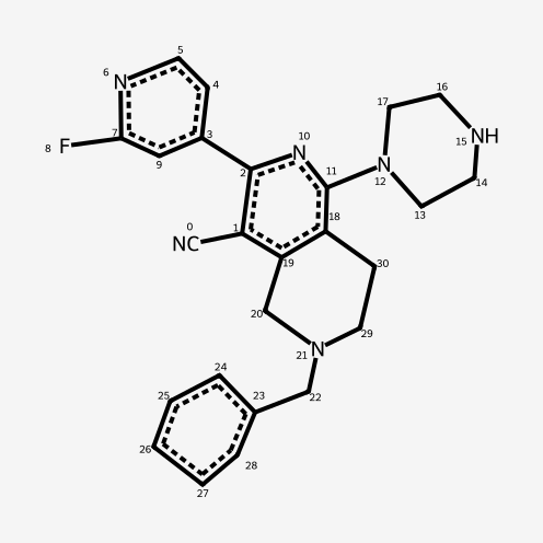 N#Cc1c(-c2ccnc(F)c2)nc(N2CCNCC2)c2c1CN(Cc1ccccc1)CC2